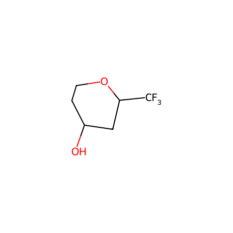 OC1CCOC(C(F)(F)F)C1